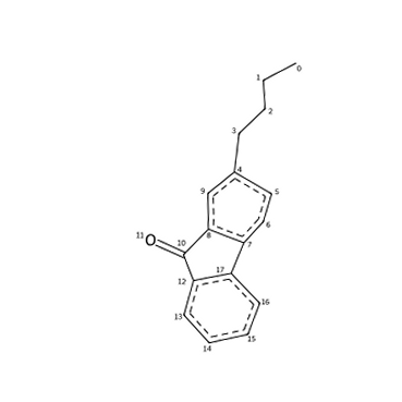 CCCCc1ccc2c(c1)C(=O)c1ccccc1-2